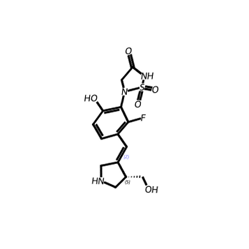 O=C1CN(c2c(O)ccc(/C=C3\CNC[C@H]3CO)c2F)S(=O)(=O)N1